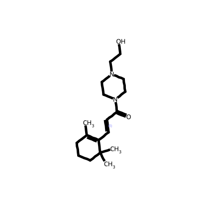 CC1=C(/C=C/C(=O)N2CCN(CCO)CC2)C(C)(C)CCC1